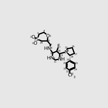 O=S1(=O)CCOC(CNC2NCNC(N3CCC[C@@H]3c3ccc(C(F)(F)F)cc3)C2F)C1